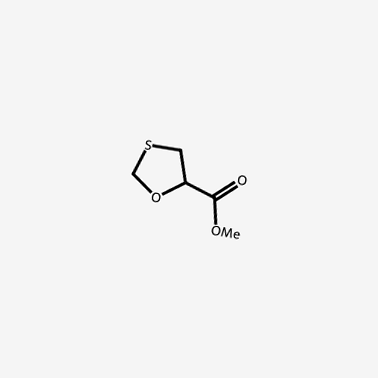 COC(=O)C1CSCO1